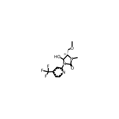 COC[C@H]1C(O)N(c2cc(C(F)(F)F)ccn2)C(=O)N1C